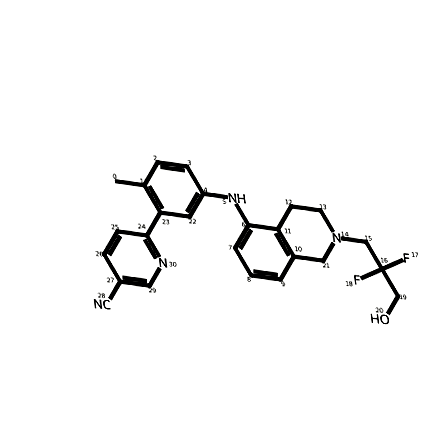 Cc1ccc(Nc2cccc3c2CCN(CC(F)(F)CO)C3)cc1-c1ccc(C#N)cn1